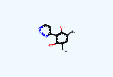 CC(C)(C)c1cc(C(C)(C)C)c(O)c(-c2ccnnn2)c1O